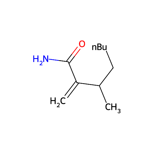 C=C(C(N)=O)C(C)CCCCC